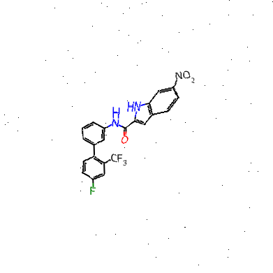 O=C(Nc1cccc(-c2ccc(F)cc2C(F)(F)F)c1)c1cc2ccc([N+](=O)[O-])cc2[nH]1